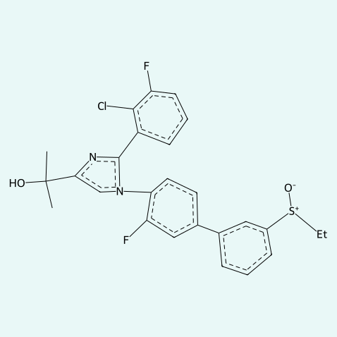 CC[S+]([O-])c1cccc(-c2ccc(-n3cc(C(C)(C)O)nc3-c3cccc(F)c3Cl)c(F)c2)c1